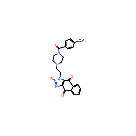 COc1ccc(C(=O)N2CCN(CCn3c4c(n[n+]3[O-])C(=O)c3ccccc3C4=O)CC2)cc1